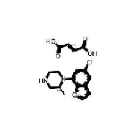 C[C@H]1CNCCN1c1cc(Cl)cc2ccoc12.O=C(O)/C=C/C(=O)O